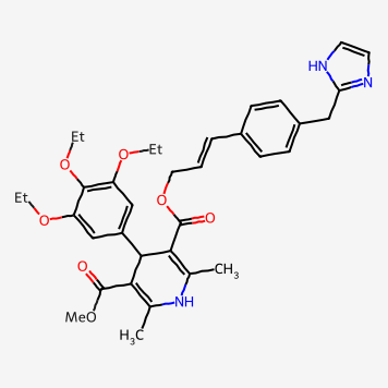 CCOc1cc(C2C(C(=O)OC)=C(C)NC(C)=C2C(=O)OCC=Cc2ccc(Cc3ncc[nH]3)cc2)cc(OCC)c1OCC